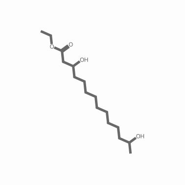 CCOC(=O)CC(O)CCCCCCCCCC(C)O